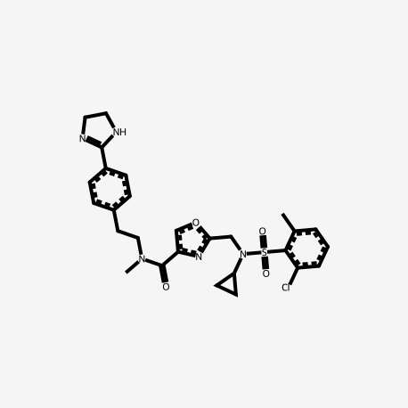 Cc1cccc(Cl)c1S(=O)(=O)N(Cc1nc(C(=O)N(C)CCc2ccc(C3=NCCN3)cc2)co1)C1CC1